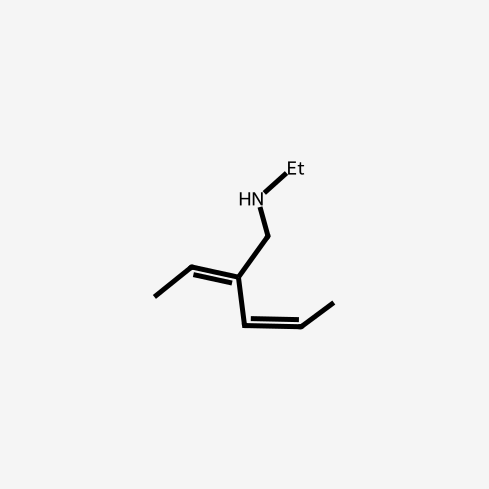 C/C=C\C(=C/C)CNCC